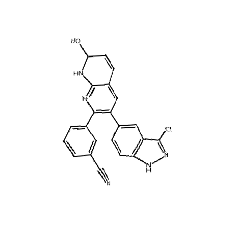 N#Cc1cccc(-c2nc3c(cc2-c2ccc4[nH]nc(Cl)c4c2)C=CC(O)N3)c1